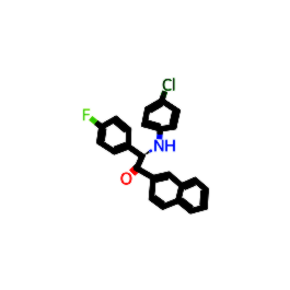 O=C(c1ccc2ccccc2c1)[C@@H](Nc1ccc(Cl)cc1)c1ccc(F)cc1